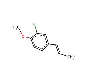 [CH2]C=Cc1ccc(OC)c(Cl)c1